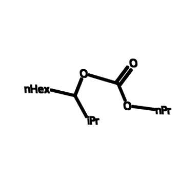 CCCCCCC(OC(=O)OCCC)C(C)C